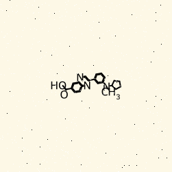 CN(c1cccc(-c2cnc3cc(C(=O)O)ccc3n2)c1)C1CCCC1